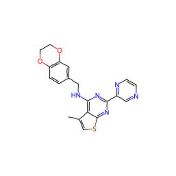 Cc1csc2nc(-c3cnccn3)nc(NCc3ccc4c(c3)OCCO4)c12